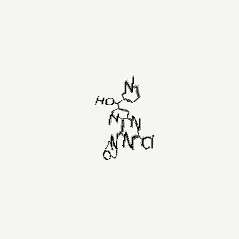 OC(c1cccnc1)c1cnc2c(N3CCOCC3)nc(Cl)nc2c1